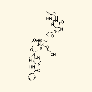 COC[C@H]1O[C@@H](n2cnc3c(NC(=O)c4ccccc4)ncnc32)C[C@@H]1NP(=S)(OCCC#N)OC[C@@H]1CC[C@H](n2cnc3c(=O)[nH]c(NC(=O)C(C)C)nc32)O1